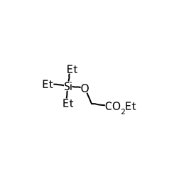 CCOC(=O)CO[Si](CC)(CC)CC